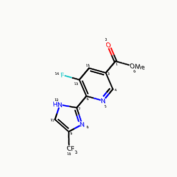 COC(=O)c1cnc(-c2nc(C(F)(F)F)c[nH]2)c(F)c1